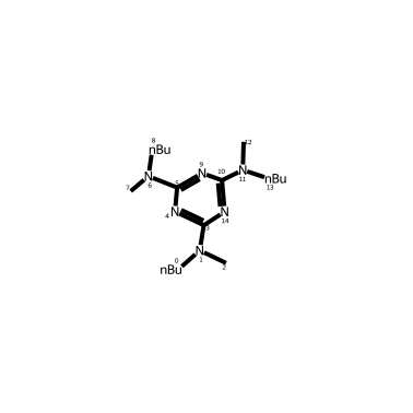 CCCCN(C)c1nc(N(C)CCCC)nc(N(C)CCCC)n1